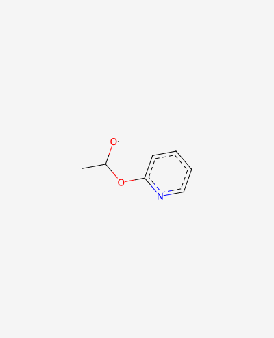 CC([O])Oc1ccccn1